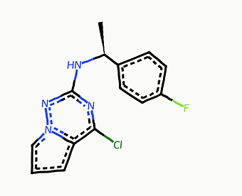 C[C@H](Nc1nc(Cl)c2cccn2n1)c1ccc(F)cc1